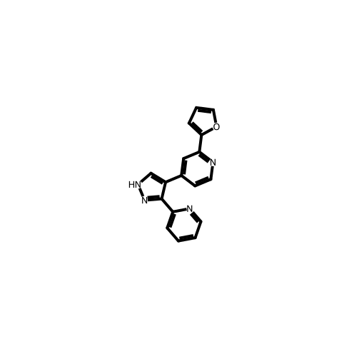 c1ccc(-c2n[nH]cc2-c2ccnc(-c3ccco3)c2)nc1